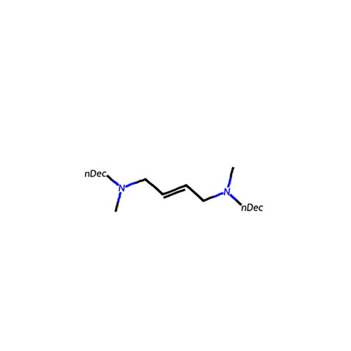 CCCCCCCCCCN(C)CC=CCN(C)CCCCCCCCCC